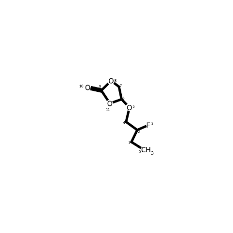 CCC(F)COC1COC(=O)O1